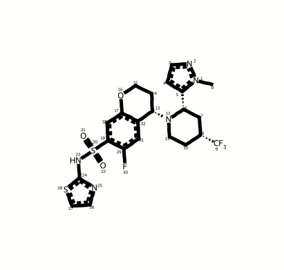 Cn1nccc1[C@@H]1C[C@H](C(F)(F)F)CCN1[C@H]1CCOc2cc(S(=O)(=O)Nc3nccs3)c(F)cc21